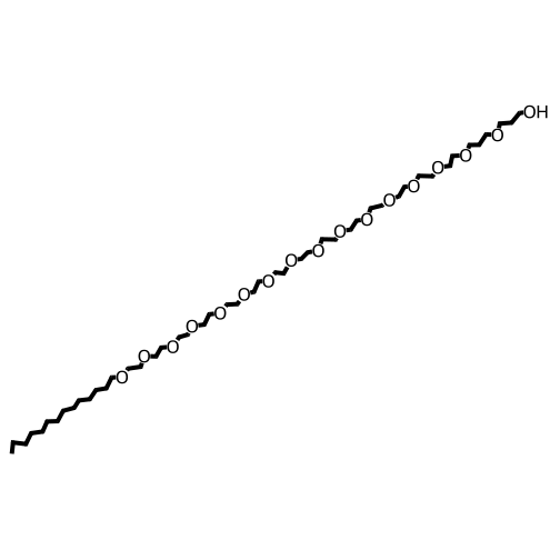 CCCCCCCCCCCCCCOCCOCCOCCOCCOCCOCCOCCOCCOCCOCCOCCOCCOCCOCCOCCCOCCCO